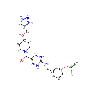 O=C(c1cnc(NCc2cccc(OC(F)F)c2)nc1)N1CCC(OCc2cn[nH]n2)CC1